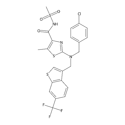 Cc1sc(N(Cc2ccc(Cl)cc2)Cc2csc3cc(C(F)(F)F)ccc23)nc1C(=O)NS(C)(=O)=O